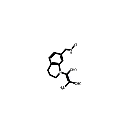 N/C(C=O)=C(/C=O)N1CCCc2ccc(CNCl)cc21